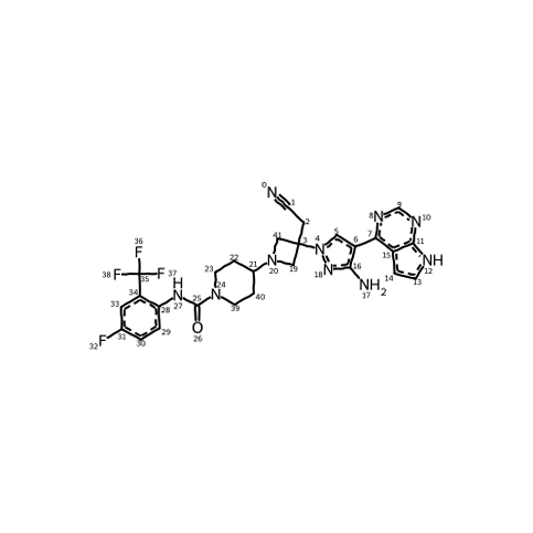 N#CCC1(n2cc(-c3ncnc4[nH]ccc34)c(N)n2)CN(C2CCN(C(=O)Nc3ccc(F)cc3C(F)(F)F)CC2)C1